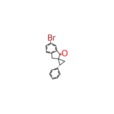 O=C1c2cc(Br)ccc2CC12C[C@@H]2c1ccccc1